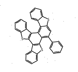 c1ccc(-c2cc3sc4ccccc4c3c3c2c2sc4ccccc4c2c2sc4ccccc4c23)cc1